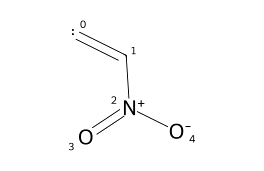 [C]=C[N+](=O)[O-]